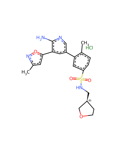 Cc1cc(-c2cc(-c3cc(S(=O)(=O)NC[C@H]4CCOC4)ccc3C)cnc2N)on1.Cl